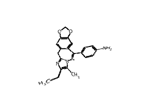 CCc1nc2n(c1C)N=C(c1ccc(N)cc1)c1cc3c(cc1C2)OCO3